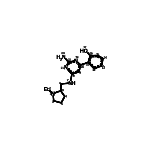 CCN1CCCC1CNc1cc(-c2c[c]ccc2O)nc(N)n1